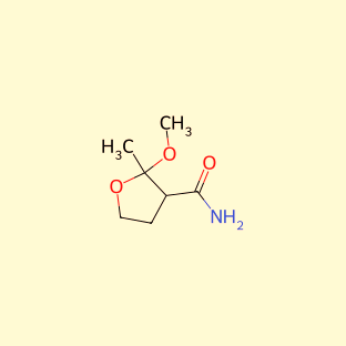 COC1(C)OCCC1C(N)=O